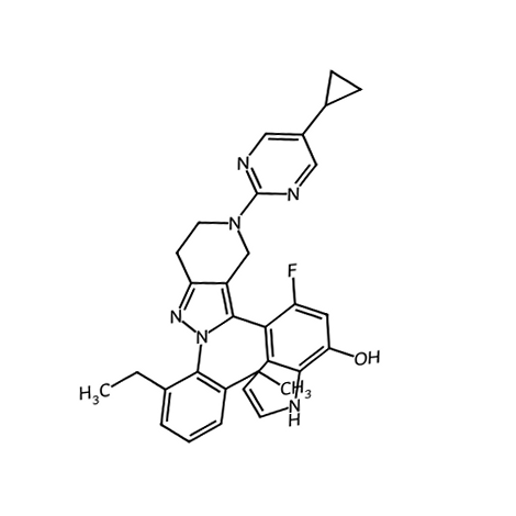 CCc1cccc(CC)c1-n1nc2c(c1-c1c(F)cc(O)c3[nH]ccc13)CN(c1ncc(C3CC3)cn1)CC2